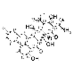 Cc1cccc(CC2c3cccc(O)c3C(=O)C3=C(O)C4(O)C(=O)C(C(N)=O)=C(O)C(N(C)C)C4C(O)C32)c1